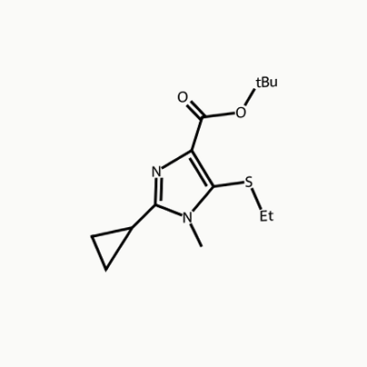 CCSc1c(C(=O)OC(C)(C)C)nc(C2CC2)n1C